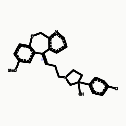 COc1ccc2c(c1)/C(=C/CCN1CCC(O)(c3ccc(Cl)cc3)C1)c1cccnc1CO2